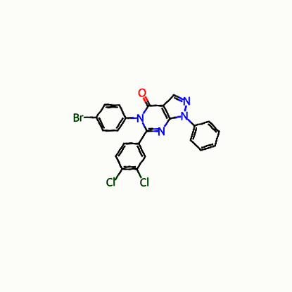 O=c1c2cnn(-c3ccccc3)c2nc(-c2ccc(Cl)c(Cl)c2)n1-c1ccc(Br)cc1